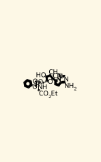 CCOC(=O)CNP(=O)(OC[C@H]1O[C@@](C#N)(c2ccc3c(N)ncnn23)[C@@H](C)[C@@H]1O)Oc1ccccc1